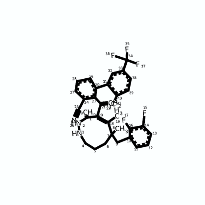 C=C1NNCCCC(C)(Cc2cccc(F)c2F)/C(C)=C\1C(=C)c1c(C#N)cccc1-c1cc(C(F)(F)F)ccc1C